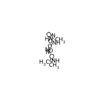 Cc1[nH]c2ccc(-c3nnc(OCC(=O)NC(C)c4nc5ccccc5[nH]4)o3)cc2c1C